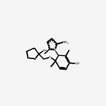 CC1=C(O)C=CC(C)(OCC2(N)CCCC2)C1n1c(C)ccc1N